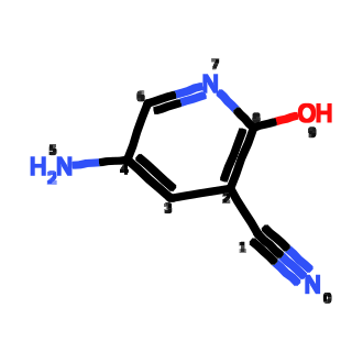 N#Cc1cc(N)cnc1O